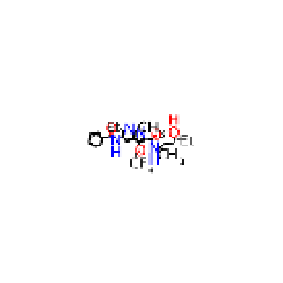 CCc1nc2c(cc1NC(=O)c1ccccc1)c(OCC(F)(F)F)c(C(=O)N[C@@H](C)CC[C@@H](O)CC)n2C